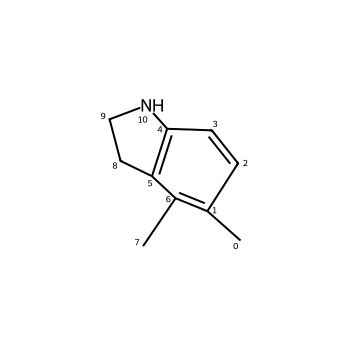 Cc1ccc2c(c1C)CCN2